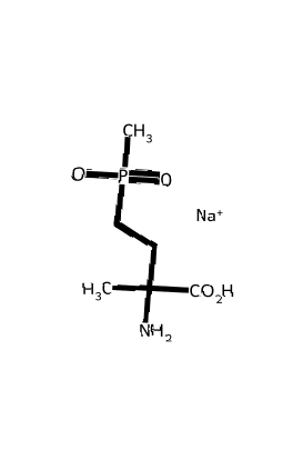 CC(N)(CCP(C)(=O)[O-])C(=O)O.[Na+]